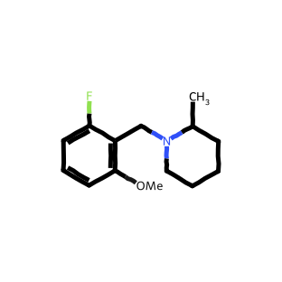 COc1cccc(F)c1CN1CCCCC1C